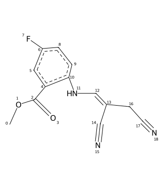 COC(=O)c1cc(F)ccc1NC=C(C#N)CC#N